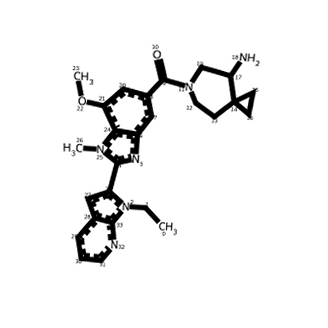 CCn1c(-c2nc3cc(C(=O)N4CCC5(CC5)C(N)C4)cc(OC)c3n2C)cc2cccnc21